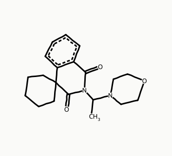 CC(N1CCOCC1)N1C(=O)c2ccccc2C2(CCCCC2)C1=O